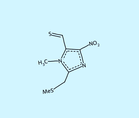 CSCc1nc([N+](=O)[O-])c(C=S)n1C